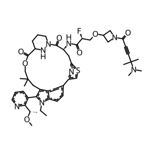 CCn1c(-c2cccnc2[C@H](C)OC)c2c3cc(ccc31)-c1csc(n1)C[C@H](NC(=O)[C@@H](F)COC1CN(C(=O)C#CC(C)(C)N(C)C)C1)C(=O)N1CCCC(N1)C(=O)OCC(C)(C)C2